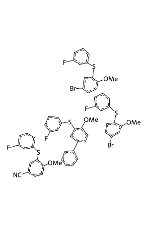 COc1cc(Br)ccc1Sc1cccc(F)c1.COc1ccc(-c2ccccc2)cc1Sc1cccc(F)c1.COc1ccc(Br)cc1Sc1cccc(F)c1.COc1ccc(C#N)cc1Sc1cccc(F)c1